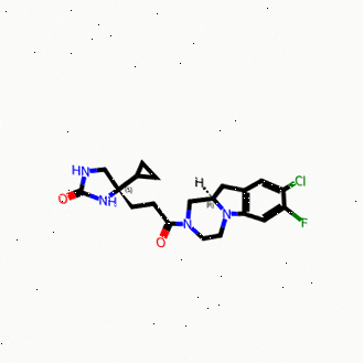 O=C1NC[C@](CCC(=O)N2CCN3c4cc(F)c(Cl)cc4C[C@@H]3C2)(C2CC2)N1